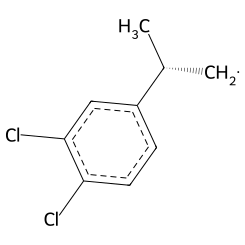 [CH2][C@@H](C)c1ccc(Cl)c(Cl)c1